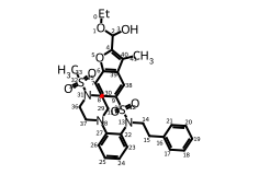 CCOC(O)c1oc2ccc(S(=O)(=O)N(CCc3ccccc3)c3ccccc3N3CCN(S(C)(=O)=O)CC3)cc2c1C